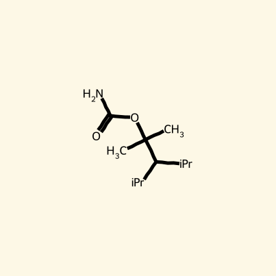 CC(C)C(C(C)C)C(C)(C)OC(N)=O